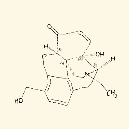 CN1CC[C@]23c4c5ccc(CO)c4O[C@H]2C(=O)C=C[C@@]3(O)[C@H]1C5